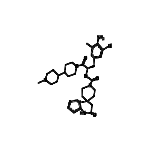 Cc1cc(C[C@@H](OC(=O)N2CCC3(CC2)CC(=O)Nc2ccccc23)C(=O)N2CCC(C3CCN(C)CC3)CC2)cc(Cl)c1N